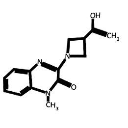 C=C(O)C1CN(c2nc3ccccc3n(C)c2=O)C1